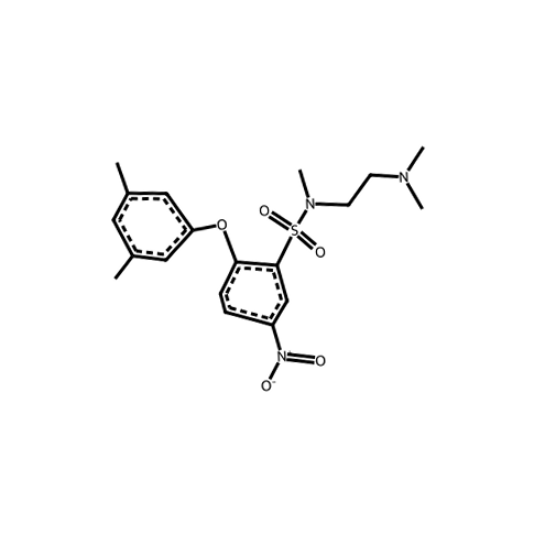 Cc1cc(C)cc(Oc2ccc([N+](=O)[O-])cc2S(=O)(=O)N(C)CCN(C)C)c1